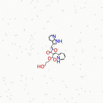 O=C(OCCCO)C1=C(C2=CC=CC=CN2)O/C(=C\c2c[nH]c3ncccc23)C1=O